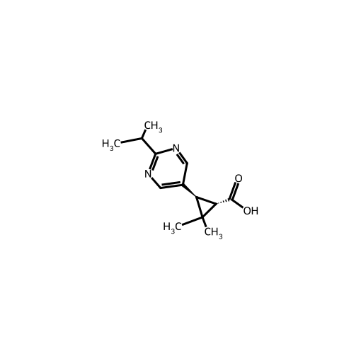 CC(C)c1ncc([C@H]2[C@H](C(=O)O)C2(C)C)cn1